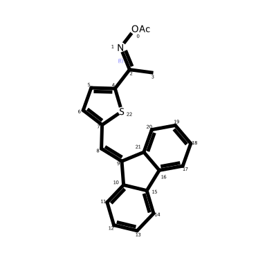 CC(=O)O/N=C(\C)c1ccc(C=C2c3ccccc3-c3ccccc32)s1